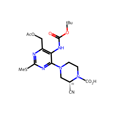 CSc1nc(COC(C)=O)c(NC(=O)OC(C)(C)C)c(N2CCN(C(=O)O)[C@H](C#N)C2)n1